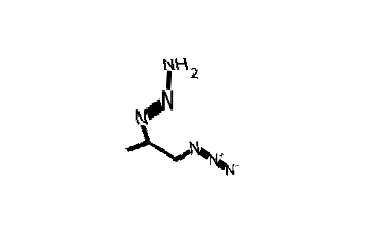 CC(CN=[N+]=[N-])N=NN